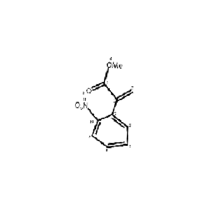 C=C(C(=O)OC)c1ccccc1[N+](=O)[O-]